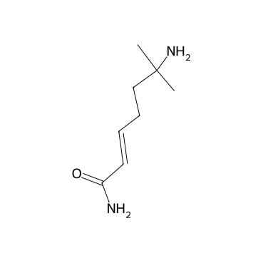 CC(C)(N)CCC=CC(N)=O